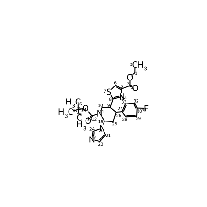 CCOC(=O)c1csc(C2CN(C(=O)OC(C)(C)C)C(n3ccnc3)CC2c2ccc(F)cc2)n1